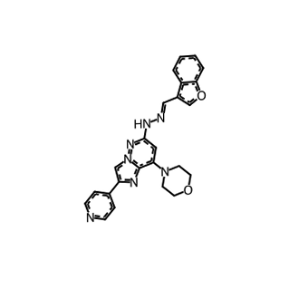 C(=N\Nc1cc(N2CCOCC2)c2nc(-c3ccncc3)cn2n1)/c1coc2ccccc12